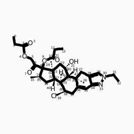 CCC(=O)OCC(=O)C1(OC(=O)CC)[C@H](C)C[C@H]2[C@H]3[C@H]([C@@H](O)C[C@@]21C)[C@@]1(C)Cc2cn(CC)nc2C=C1C[C@H]3Cl